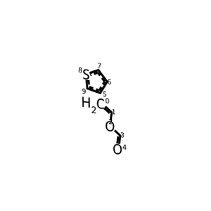 C=COC=O.c1ccsc1